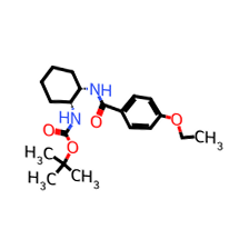 CCOc1ccc(C(=O)N[C@H]2CCCC[C@H]2NC(=O)OC(C)(C)C)cc1